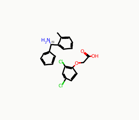 Cc1ccccc1[C@@H](N)c1ccccc1.O=C(O)COc1ccc(Cl)cc1Cl